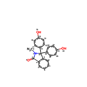 CN1C(=O)c2ccccc2C1(c1ccc(O)cc1)c1ccc(O)cc1